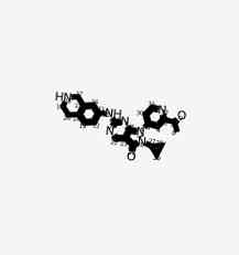 CC(=O)c1cc(-n2c3nc(Nc4ccc5c(c4)CNCC5)ncc3c(=O)n2C2CC2)ccn1